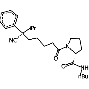 CCCCNC(=O)[C@H]1CCCN1C(=O)CCCC[C@@](C#N)(c1ccccc1)C(C)C